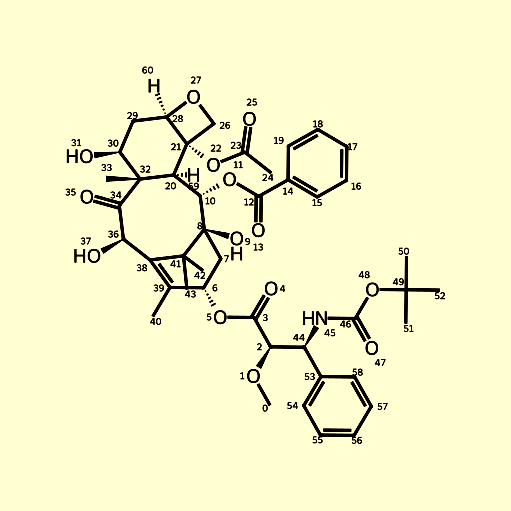 CO[C@@H](C(=O)O[C@H]1C[C@@]2(O)[C@@H](OC(=O)c3ccccc3)[C@@H]3[C@]4(OC(C)=O)CO[C@@H]4C[C@H](O)[C@@]3(C)C(=O)[C@H](O)C(=C1C)C2(C)C)[C@@H](NC(=O)OC(C)(C)C)c1ccccc1